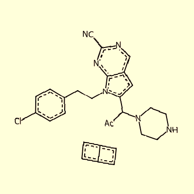 CC(=O)C(c1cc2cnc(C#N)nc2n1CCc1ccc(Cl)cc1)N1CCNCC1.c1cc2ccc1-2